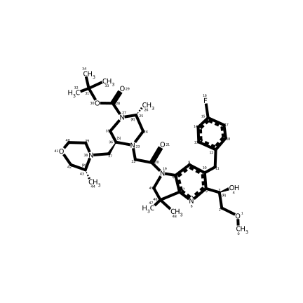 COC[C@H](O)c1nc2c(cc1Cc1ccc(F)cc1)N(C(=O)CN1C[C@@H](C)N(C(=O)OC(C)(C)C)C[C@@H]1CN1CCOC[C@H]1C)CC2(C)C